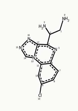 NCC(N)c1nc2ccc(Cl)cc2n2cnnc12